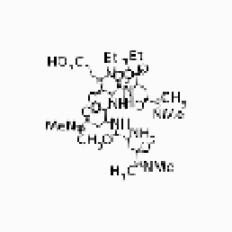 CCC(CC)OC(=O)C(CC(=O)[C@H](C)NC)NC(=O)C(NC(=O)C(CC(=O)[C@H](C)NC)NC(=O)C(N)CC(=O)[C@H](C)NC)C(=O)[C@@H](N)CCC(=O)O